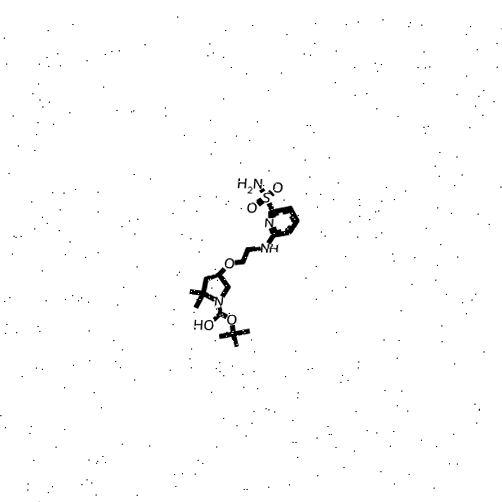 CC(C)(C)OC(O)N1CC(OCCNc2cccc(S(N)(=O)=O)n2)CC1(C)C